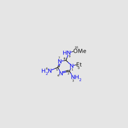 CCN1C(N)=NC(N)=NC1NOC